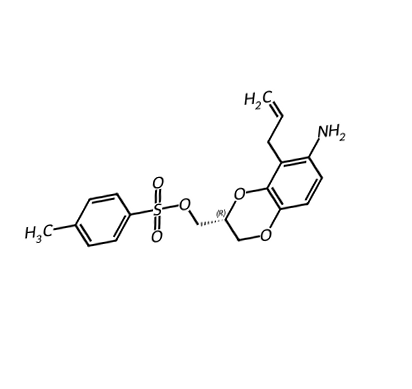 C=CCc1c(N)ccc2c1O[C@@H](COS(=O)(=O)c1ccc(C)cc1)CO2